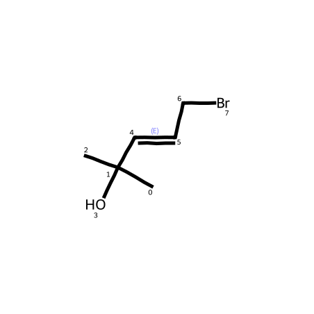 CC(C)(O)/C=C/CBr